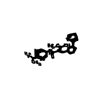 CC(C)c1ncc(NC(=O)N(Cc2cccc(-c3nccs3)c2)C(C)C)cn1